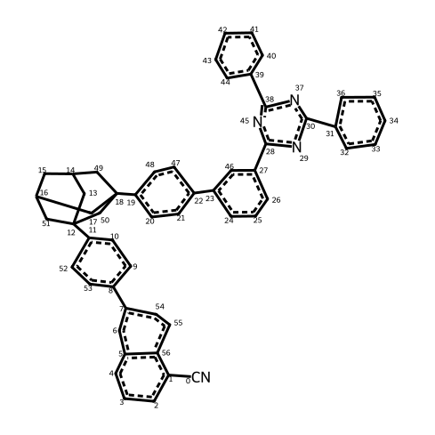 N#Cc1cccc2cc(-c3ccc(C45CC6CC(CC(c7ccc(-c8cccc(-c9nc(-c%10ccccc%10)nc(-c%10ccccc%10)n9)c8)cc7)(C6)C4)C5)cc3)ccc12